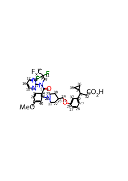 COc1ccc(C(=O)N(CC(F)(F)C(F)(F)F)c2ncccn2)c(N2CCC(COc3cccc(C(CC(=O)O)C4CC4)c3)CC2)c1